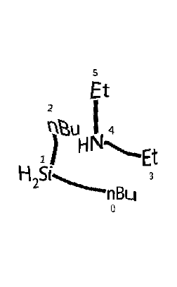 CCCC[SiH2]CCCC.CCNCC